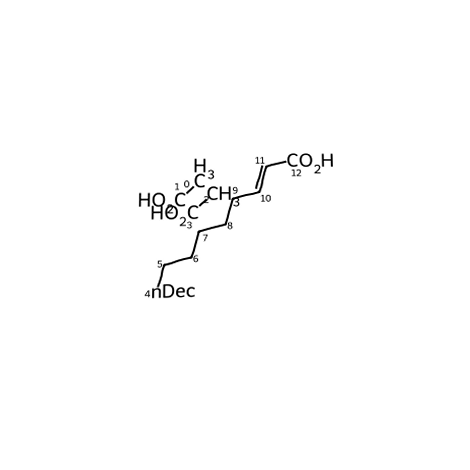 CC(=O)O.CC(=O)O.CCCCCCCCCCCCCCCC=CC(=O)O